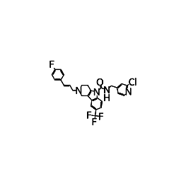 O=C(NCc1ccnc(Cl)c1)n1c2c(c3cc(C(F)(F)F)ccc31)CN(C/C=C/c1ccc(F)cc1)CC2